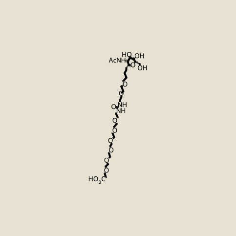 CC(=O)N[C@@H]1[C@@H](O)[C@@H](O)[C@@H](CO)O[C@@H]1CCCCCOCCOCCNC(=O)NCCOCCOCCOCCOCCOCCOCCC(=O)O